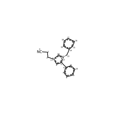 N#CCCn1cc(-c2ccccc2)[n+](Cc2ccccc2)c1